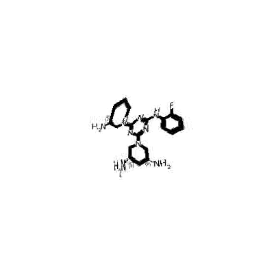 N[C@@H]1C[C@H](N)CN(c2nc(Nc3ccccc3F)nc(N3CCC[C@H](N)C3)n2)C1